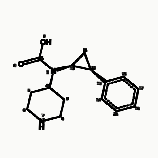 O=C(O)N(C1CCNCC1)[C@H]1C[C@H]1c1ccccc1